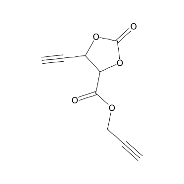 C#CCOC(=O)C1OC(=O)OC1C#C